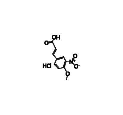 COc1ccc(C=CC(=O)O)cc1[N+](=O)[O-].Cl